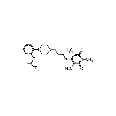 Cc1c(NCCCN2CCN(c3ccccc3OC(F)C(F)(F)F)CC2)n(C)c(=O)n(C)c1=O